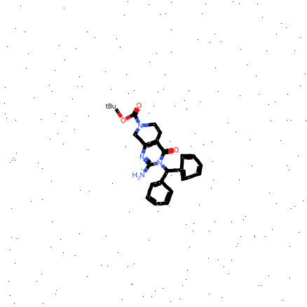 CC(C)(C)OC(=O)N1CCc2c(nc(N)n(C(c3ccccc3)c3ccccc3)c2=O)C1